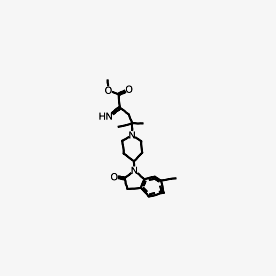 COC(=O)C(=N)CC(C)(C)N1CCC(N2C(=O)Cc3ccc(C)cc32)CC1